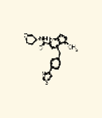 Cn1ccc2nc(C(=O)N[C@H]3CCOC3)cc(Cc3ccc(-c4cscn4)cc3)c21